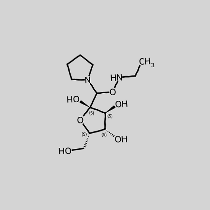 CCNOC(N1CCCC1)[C@@]1(O)O[C@@H](CO)[C@@H](O)[C@@H]1O